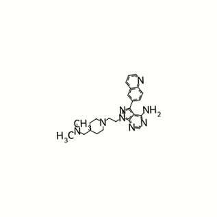 CN(C)CC1CCN(CCn2nc(-c3ccc4ncccc4c3)c3c(N)ncnc32)CC1